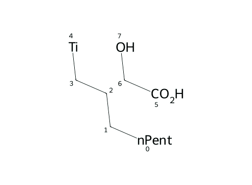 CCCCCCC[CH2][Ti].O=C(O)CO